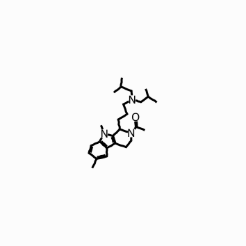 CC(=O)N1CCc2c(n(C)c3ccc(C)cc23)C1CCCN(CC(C)C)CC(C)C